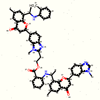 Cc1cc(C(C)Nc2ccccc2C(=O)O)c2oc(-c3ccc4nc(CCOC(=O)c5ccccc5NC(C)c5cc(C)cc6c(=O)cc(-c7ccc8ncn(C)c8c7)oc56)n(C)c4c3)cc(=O)c2c1